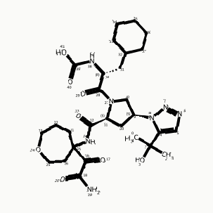 CC(C)(O)c1cnnn1[C@H]1C[C@@H](C(=O)NC2(C(=O)C(N)=O)CCCOCC2)N(C(=O)[C@@H](CC2CCCCC2)NC(=O)O)C1